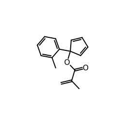 C=C(C)C(=O)OC1(c2ccccc2C)C=CC=C1